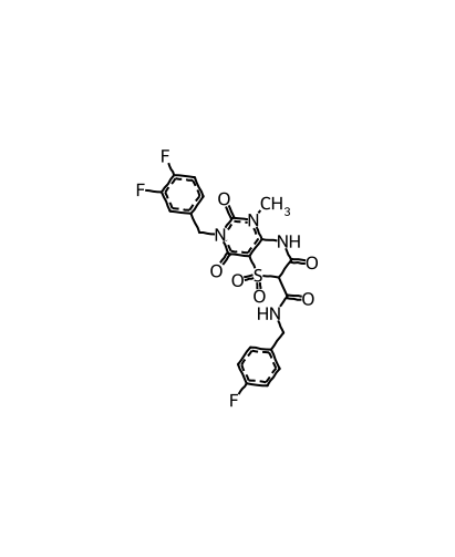 Cn1c2c(c(=O)n(Cc3ccc(F)c(F)c3)c1=O)S(=O)(=O)C(C(=O)NCc1ccc(F)cc1)C(=O)N2